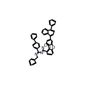 C=N/C(=N\C(=N/Cc1ccccc1)c1ccc(-c2ccccc2)cc1)c1cccc2oc3cc(-c4ccc(-c5ccccc5)c5ccccc45)ccc3c12